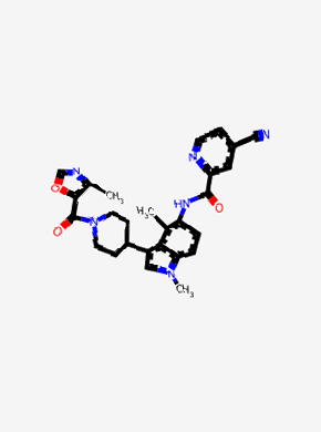 Cc1ncoc1C(=O)N1CCC(c2cn(C)c3ccc(NC(=O)c4cc(C#N)ccn4)c(C)c23)CC1